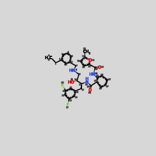 CCc1cccc(CNC[C@@H](O)[C@H](Cc2cc(F)cc(F)c2)NC(=O)c2ccccc2NC(=O)c2ccc(C)o2)c1